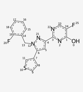 Oc1nc(-c2cc(-c3ccsc3)n(Cc3ccccc3F)n2)ncc1F